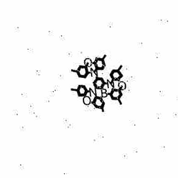 Cc1ccc2c(c1)Oc1cc(C)ccc1N2c1cc2c3c(c1)N1c4ccc(C)cc4Oc4cc(C)cc(c41)B3c1cc(C)cc3c1N2c1ccc(C)cc1O3